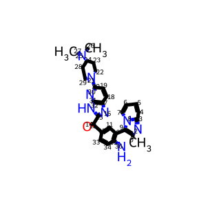 Cc1nc2ccccn2c1-c1cc(C(=O)c2nc3ccc(N4CCC(N(C)C)CC4)nc3[nH]2)ccc1N